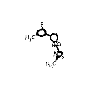 Cc1cc(F)cc(C2CCCc3oc(-c4csc(C)n4)nc3C2)c1